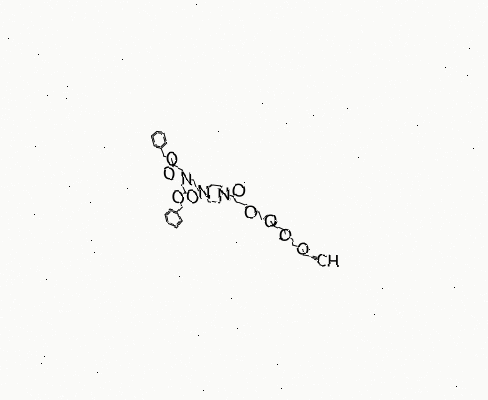 C#CCOCCOCCOCCOCCC(=O)N1CCN(CCN(CC(=O)OCc2ccccc2)CC(=O)OCc2ccccc2)CC1